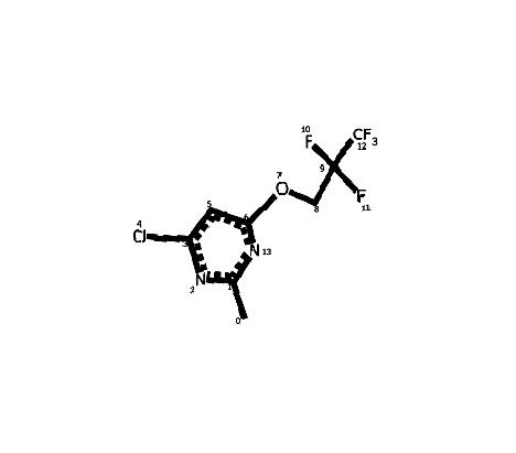 Cc1nc(Cl)cc(OCC(F)(F)C(F)(F)F)n1